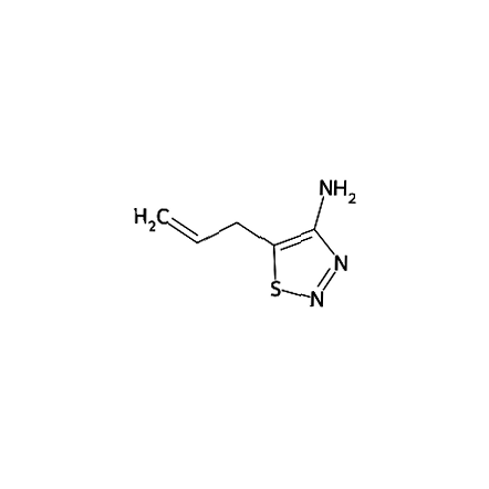 C=CCc1snnc1N